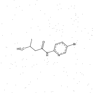 O=C(CC(I)C(=O)O)Nc1ccc(Br)cn1